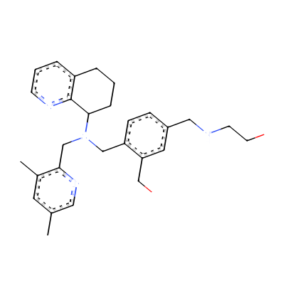 Cc1cnc(CN(Cc2ccc(CNCCO)cc2CO)C2CCCc3cccnc32)c(C)c1